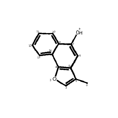 Cc1coc2c1cc(O)c1ccccc12